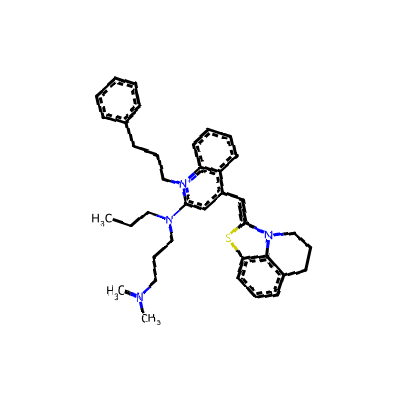 CCCN(CCCN(C)C)c1cc(/C=C2\Sc3cccc4c3N2CCC4)c2ccccc2[n+]1CCCc1ccccc1